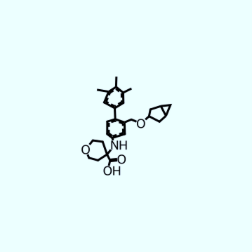 Cc1cc(-c2ccc(NC3(C(=O)O)CCOCC3)cc2COC2CC3CC3C2)cc(C)c1C